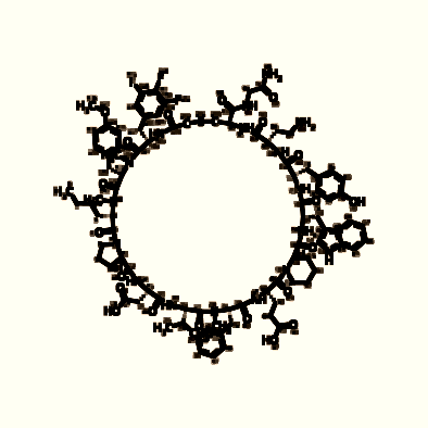 CCCC[C@H]1C(=O)N2CCC[C@@H]2C(=O)N[C@@H](CC(=O)O)C(=O)N[C@@H](C(C)C)C(=O)N(C)[C@@H](Cc2ccccc2)C(=O)N[C@@H](CCC(=O)O)C(=O)N2CCCC[C@@H]2C(=O)N[C@@H](Cc2c[nH]c3ccccc23)C(=O)N[C@@H](Cc2ccc(O)cc2)C(=O)N[C@@H](CCN)C(=O)N[C@H](C(=O)NCC(N)=O)CSCC(=O)N[C@@H](Cc2cc(F)c(F)c(F)c2)C(=O)N(C)[C@@H](Cc2ccc(OC)cc2)C(=O)N1C